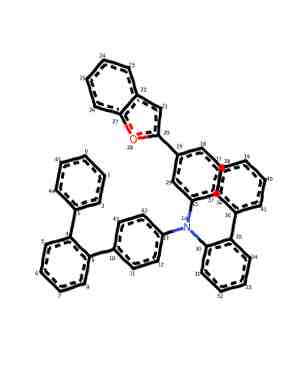 c1ccc(-c2ccccc2-c2ccc(N(c3cccc(-c4cc5ccccc5o4)c3)c3ccccc3-c3ccccc3)cc2)cc1